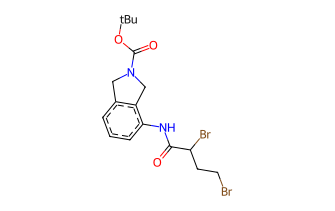 CC(C)(C)OC(=O)N1Cc2cccc(NC(=O)C(Br)CCBr)c2C1